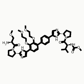 COCCOc1c(-c2ccc(-c3cnc([C@@H]4CCCN4C(=O)[C@@H](NC(=O)OC)C(C)C)[nH]3)cc2)ccc(-c2cnc([C@@H]3CCCN3C(=O)[C@@H](N)COC)[nH]2)c1OCCOC